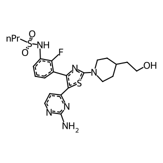 CCCS(=O)(=O)Nc1cccc(-c2nc(N3CCC(CCO)CC3)sc2-c2ccnc(N)n2)c1F